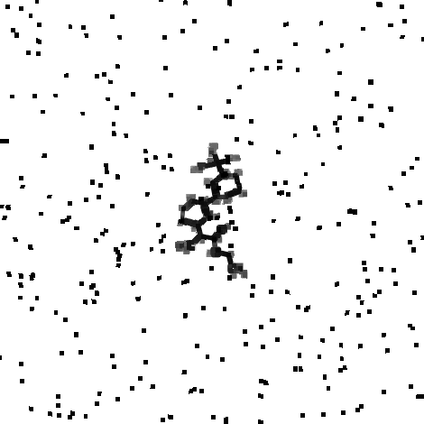 CCOC(=O)C(C)c1cccc(-c2cccc(C(F)(F)F)c2)n1